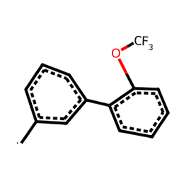 [CH2]c1cccc(-c2ccccc2OC(F)(F)F)c1